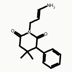 CC1(C)CC(=O)N(CC=CN)C(=O)C1c1ccccc1